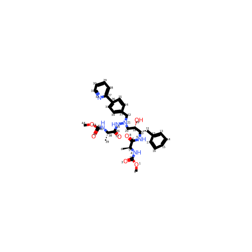 COC(=O)N[C@@H](C)C(=O)N[C@@H](Cc1ccccc1)[C@@H](O)CN(Cc1ccc(-c2ccccn2)cc1)NC(=O)[C@H](C)NC(=O)OC